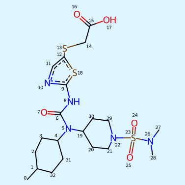 CC1CCC(N(C(=O)Nc2ncc(SCC(=O)O)s2)C2CCN(S(=O)(=O)N(C)C)CC2)CC1